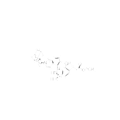 CCOC(=O)CCc1ccc2c(c1C)N(c1cccc3c1CCN(C(=O)C14CC5CC(CC(C5)C1)C4)C3)NN2C